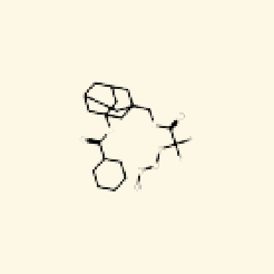 O=C(OC12CC3CC(CC(COC(=O)C(F)(F)SOOO)(C3)C1)C2)C1CCCCC1